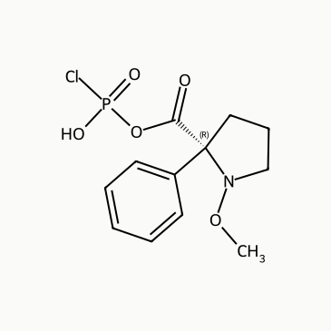 CON1CCC[C@]1(C(=O)OP(=O)(O)Cl)c1ccccc1